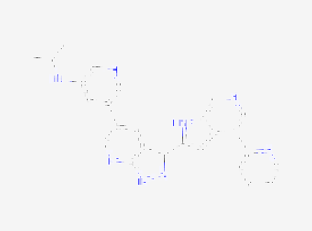 CC(C)Nc1cncc(-c2cnc3[nH]nc(-c4cc5c(-c6ccccn6)cncc5[nH]4)c3c2)c1